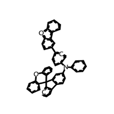 c1ccc(N(c2ccc(-c3ccc4oc5ccccc5c4c3)cc2)c2ccc3c(c2)C2(c4ccccc4Oc4ccccc42)c2ccccc2-3)cc1